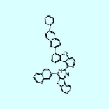 c1ccc(-c2ccc3cc(-c4cccc5c4oc4cccc(-c6nc(-c7ccc8ccccc8c7)c7sc8ccccc8c7n6)c45)ccc3c2)cc1